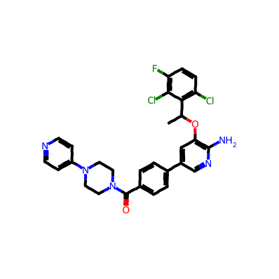 CC(Oc1cc(-c2ccc(C(=O)N3CCN(c4ccncc4)CC3)cc2)cnc1N)c1c(Cl)ccc(F)c1Cl